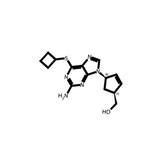 Nc1nc(SC2CCC2)c2ncn([C@H]3C=C[C@@H](CO)C3)c2n1